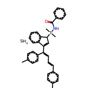 Cc1ccc(C=CC=C(C2=C[CH]([Ti]([CH3])([CH3])[NH]C(=O)c3ccccc3)c3ccccc32)c2ccc(C)cc2)cc1.[SiH4]